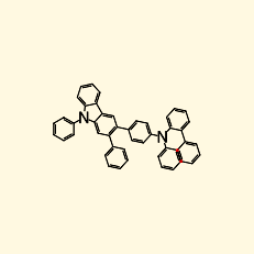 c1ccc(-c2cc3c(cc2-c2ccc(N(c4ccccc4)c4ccccc4-c4ccccc4)cc2)c2ccccc2n3-c2ccccc2)cc1